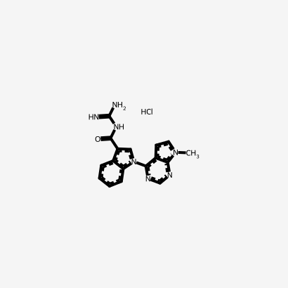 Cl.Cn1ccc2c(-n3cc(C(=O)NC(=N)N)c4ccccc43)ncnc21